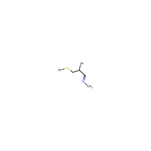 C/N=C/C(CSC(C)C)C(C)C